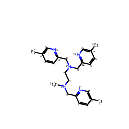 CCc1ccc(CN(C)CCN(Cc2ccc(CC)cn2)Cc2ccc(CC)cn2)nc1